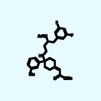 COC(=O)C=C1CCC(NCC[C@H](Cc2cc(F)cc(F)c2)NC(C)=O)(c2cccc(C(C)(C)C)c2)CC1